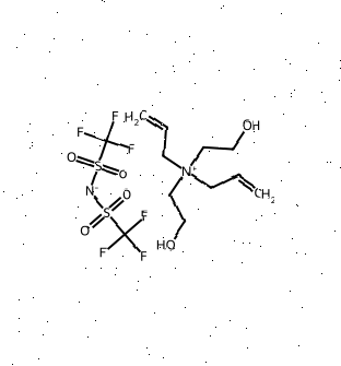 C=CC[N+](CC=C)(CCO)CCO.O=S(=O)([N-]S(=O)(=O)C(F)(F)F)C(F)(F)F